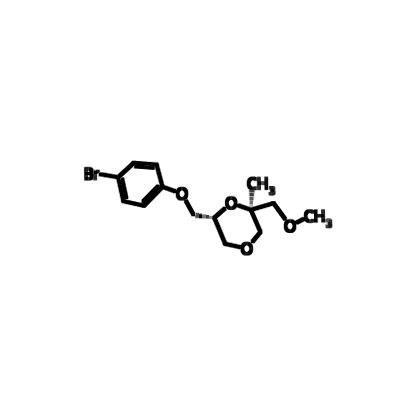 COC[C@@]1(C)COC[C@H](COc2ccc(Br)cc2)O1